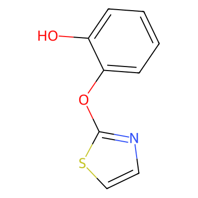 Oc1ccccc1Oc1nccs1